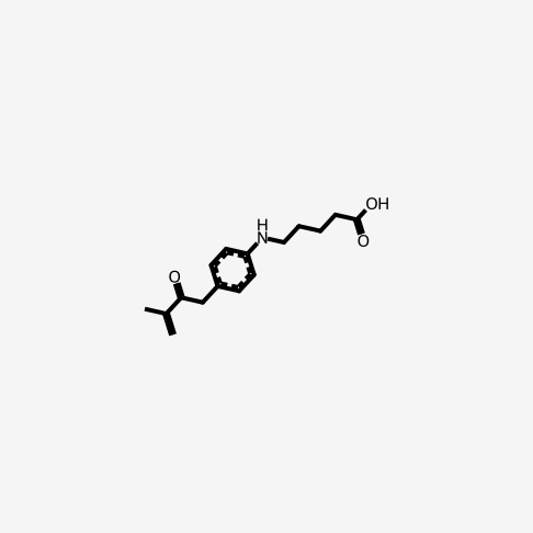 C=C(C)C(=O)Cc1ccc(NCCCCC(=O)O)cc1